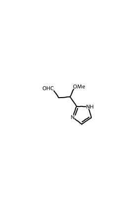 COC(CC=O)c1ncc[nH]1